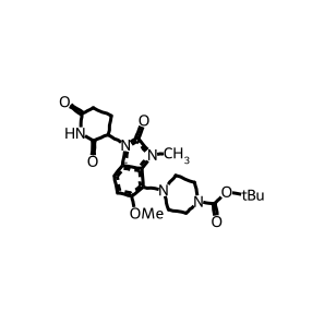 COc1ccc2c(c1N1CCN(C(=O)OC(C)(C)C)CC1)n(C)c(=O)n2C1CCC(=O)NC1=O